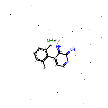 Cc1cccc(C)c1C1=CC=NC(=N)C1=N.[Cl][Fe]